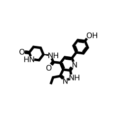 CCc1n[nH]c2nc(-c3ccc(O)cc3)cc(C(=O)N[C@@H]3CCC(=O)NC3)c12